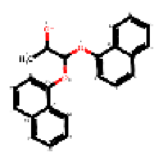 CC(O)C(Oc1cccc2ccccc12)Oc1cccc2ccccc12